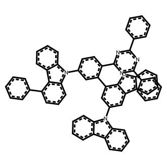 c1ccc(-c2nc(-c3ccccc3)nc(-c3ccc(-n4c5ccccc5c5c(-c6ccccc6)cccc54)cc3-c3cc(-n4c5ccccc5c5ccccc54)cc4c3oc3ccccc34)n2)cc1